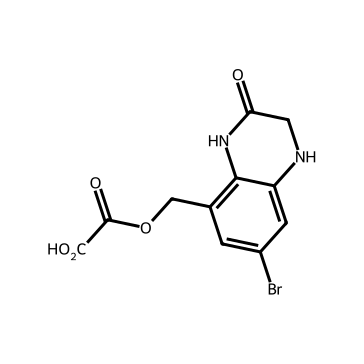 O=C1CNc2cc(Br)cc(COC(=O)C(=O)O)c2N1